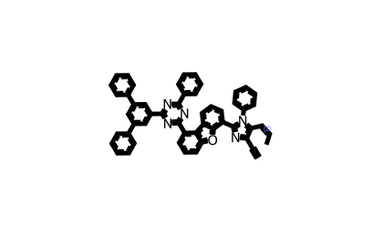 C#Cc1nc(-c2cccc3c2oc2cccc(-c4nc(-c5ccccc5)nc(-c5cc(-c6ccccc6)cc(-c6ccccc6)c5)n4)c23)n(-c2ccccc2)c1/C=C\C